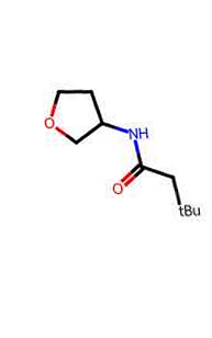 CC(C)(C)CC(=O)NC1CCOC1